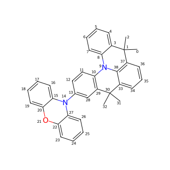 CC1(C)c2ccccc2N2c3ccc(N4c5ccccc5Oc5ccccc54)cc3C(C)(C)c3cccc1c32